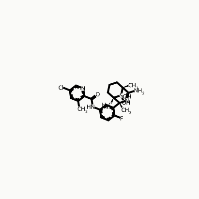 Cc1cc(Cl)cnc1C(=O)Nc1ccc(F)c([C@@]2(C)N=C(N)[C@@]3(C)CCC[C@]2(C)S3(O)O)c1